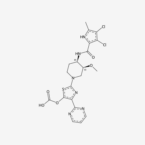 CO[C@H]1CN(c2nc(-c3ncccn3)c(OC(=O)O)s2)CC[C@H]1NC(=O)c1[nH]c(C)c(Cl)c1Cl